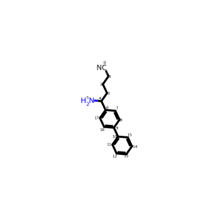 N#CCCCC(N)c1ccc(-c2ccccc2)cc1